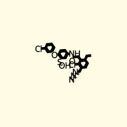 CCc1ccc(CN=[N+]=[N-])c(Cl)c1CC(=O)Nc1ccc(Oc2cccc(Cl)c2)c(SO)c1